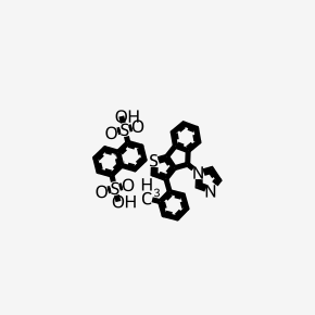 Cc1ccccc1-c1csc2c1C(n1ccnc1)c1ccccc1-2.O=S(=O)(O)c1cccc2c(S(=O)(=O)O)cccc12